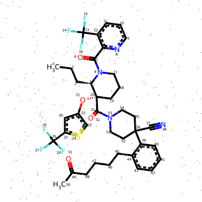 CCC[C@H]1N(C(=O)c2ncccc2C(F)(F)F)CCC[C@@]1(Oc1csc(C(F)(F)F)c1)C(=O)N1CCC(C#N)(c2ccccc2CCCCC(C)=O)CC1